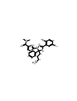 CN(C)C(=O)c1csc(N2N=C(c3cc(F)ccc3F)SC2(CCCN)c2ccccc2)n1